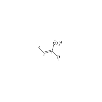 [CH2]CC(=CC)C(=O)O